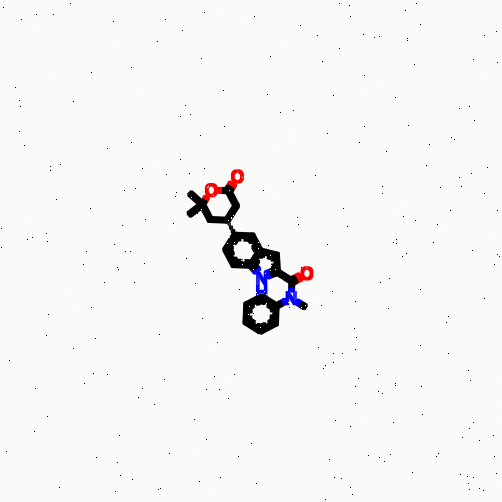 CN(C(=O)c1cc2cc([C@H]3CC(=O)OC(C)(C)C3)ccc2[nH]1)c1ccccc1